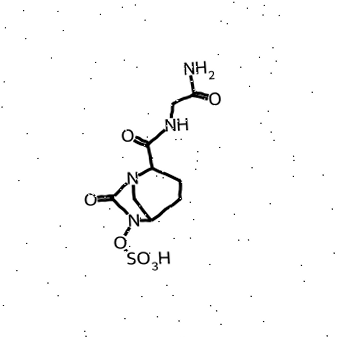 NC(=O)CNC(=O)C1CCC2CN1C(=O)N2OS(=O)(=O)O